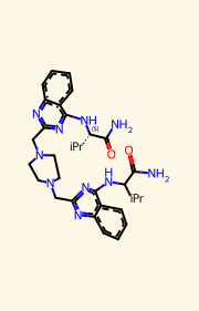 CC(C)C(Nc1nc(CN2CCN(Cc3nc(N[C@H](C(N)=O)C(C)C)c4ccccc4n3)CC2)nc2ccccc12)C(N)=O